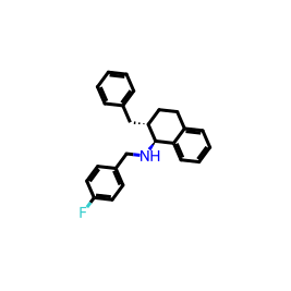 Fc1ccc(CN[C@@H]2c3ccccc3CC[C@H]2Cc2ccccc2)cc1